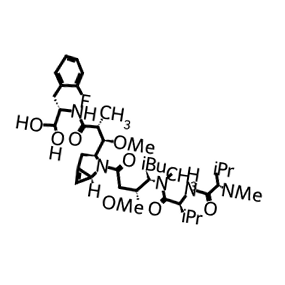 CC[C@H](C)[C@@H]([C@@H](CC(=O)N1[C@H]2C=C2C[C@H]1[C@H](OC)[C@@H](C)C(=O)N[C@@H](Cc1ccccc1F)C(O)O)OC)N(C)C(=O)[C@@H](NC(=O)[C@@H](NC)C(C)C)C(C)C